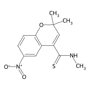 CNC(=S)C1=CC(C)(C)Oc2ccc([N+](=O)[O-])cc21